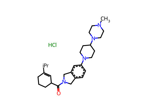 CC(C)C1=CC(C(=O)N2Cc3ccc(N4CCC(N5CCN(C)CC5)CC4)cc3C2)CCC1.Cl